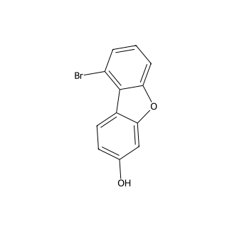 Oc1ccc2c(c1)oc1cccc(Br)c12